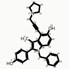 Cc1c(-c2ccc(O)cc2)n(Cc2ccccc2)c2ccc(O)c(C#CCN3CCCC3)c12